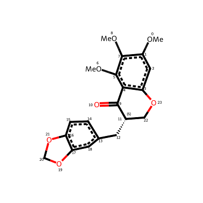 COc1cc2c(c(OC)c1OC)C(=O)[C@@H](Cc1ccc3c(c1)OCO3)CO2